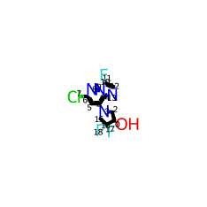 OC1CN(c2cc(Cl)nn3c(F)cnc23)CC1(F)F